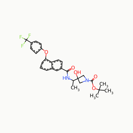 CC(NC(=O)c1ccc2c(Oc3ccc(C(F)(F)F)cc3)cccc2c1)C1(O)CN(C(=O)OC(C)(C)C)C1